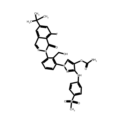 CC(C)(C)c1cc(F)c2c(=O)n(-c3cccc(-n4cc(OC(N)=O)c(Nc5ccc(S(C)(=O)=O)cc5)n4)c3CO)ncc2c1